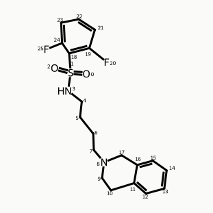 O=S(=O)(NCCCCN1CCc2ccccc2C1)c1c(F)cccc1F